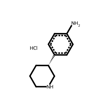 Cl.Nc1ccc([C@H]2CCCNC2)cc1